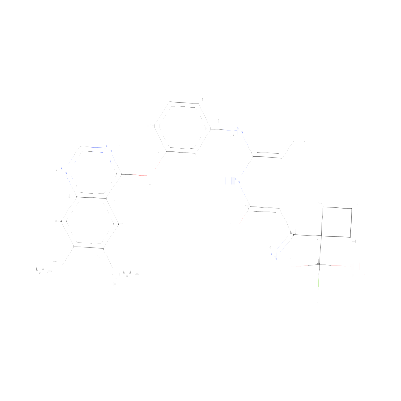 BC(B)(F)C1(C(=N)/C=C(\O)N/C(=C/CC)Nc2cccc(Oc3ncnc4cc(OC)c(OC)cc34)c2)CCC1